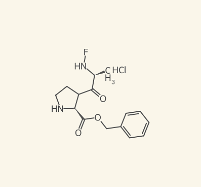 C[C@H](NF)C(=O)C1CCN[C@@H]1C(=O)OCc1ccccc1.Cl